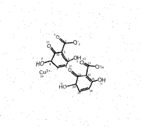 O=C([O-])C1=C(O)C=CC(O)C1=O.O=C([O-])C1=C(O)C=CC(O)C1=O.[Cu+2]